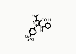 CS(=O)(=O)c1ccc(-n2nc(C(F)F)c(C(=O)O)c2NC2CCCC2)nc1